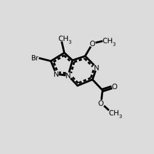 COC(=O)c1cn2nc(Br)c(C)c2c(OC)n1